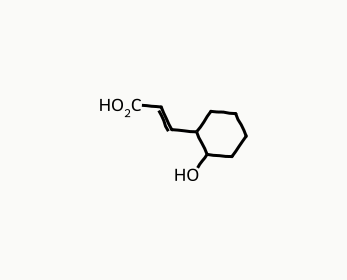 O=C(O)C=CC1CCCCC1O